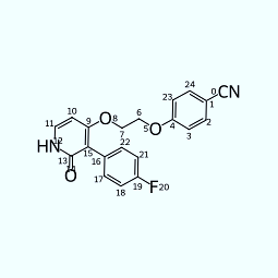 N#Cc1ccc(OCCOc2cc[nH]c(=O)c2-c2ccc(F)cc2)cc1